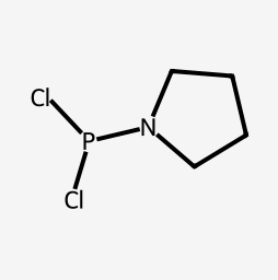 ClP(Cl)N1CCCC1